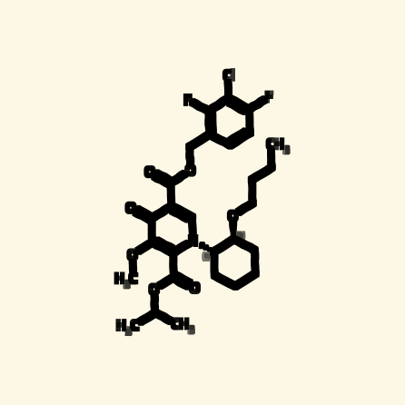 CCCCO[C@H]1CCCC[C@@H]1n1cc(C(=O)OCc2ccc(F)c(Cl)c2F)c(=O)c(OC)c1C(=O)OC(C)C